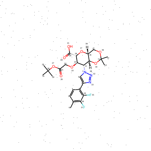 Cc1ccc(-c2cn([C@H]3[C@H]4OC(C)(C)OC[C@H]4O[C@@H](C(=O)O)[C@@H]3OCC(=O)OC(C)(C)C)nn2)c(F)c1F